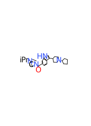 CC(C)N1CCN(C(=O)c2ccc3c(C4CCN(C5CCCC5)CC4)c[nH]c3c2)CC1